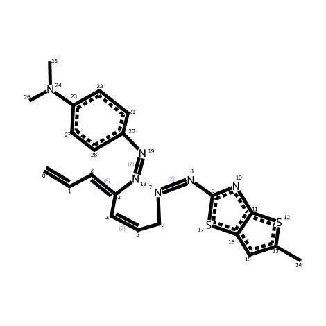 C=C/C=C(\C=C/C/N=N\c1nc2sc(C)cc2s1)/N=N\c1ccc(N(C)C)cc1